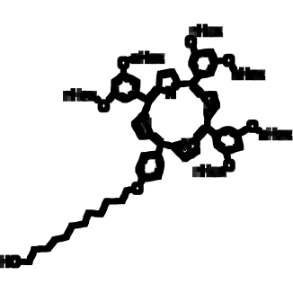 CCCCCCOc1cc(OCCCCCC)cc(C2=C3C=CC(=N3)C(c3cc(OCCCCCC)cc(OCCCCCC)c3)=C3C=CC(=N3)C(c3cc(OCCCCCC)cc(OCCCCCC)c3)=C3C=CC(=N3)C(c3ccc(OCCCCCCCCCCCCO)cc3)=C3C=CC2=N3)c1